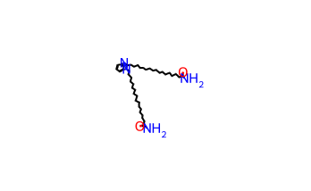 NC(=O)CCCCCCCCCCCCCCCCCN1C(CCCCCCCCCCCCCCCCC(N)=O)=Nc2cccc1c2